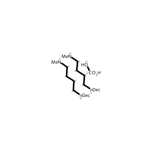 CCCCCCCCCCCCCCNC.CCCCCCCCCCCCCCNC.O=C(O)O